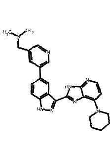 CN(C)Cc1cncc(-c2ccc3[nH]nc(-c4nc5c(N6CCCCC6)ccnc5[nH]4)c3c2)c1